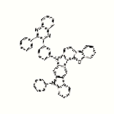 c1ccc(-c2nc3ccccc3nc2-c2cccc(-n3c4cc5c(cc4c4c6oc7ccccc7c6ccc43)c3ccccc3n5-c3ccccc3)c2)cc1